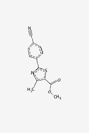 COC(=O)c1sc(-c2ccc(C#N)cc2)nc1C